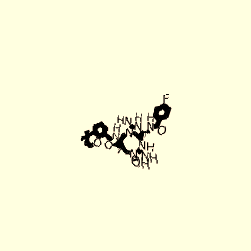 CC1(C)CCOc2c(C(=O)NC34CN5CC(NC(=N)N(O)C[C@@]3(C)C4)[C@H](CNC(=O)c3ccc(F)cc3)NC5=N)cccc21